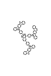 c1ccc2c(c1)sc1cc3c4ccccc4n(-c4ccc(-c5ccc6nc(-c7ccc(-n8c9ccccc9c9cc%10sc%11ccccc%11c%10cc98)cc7)nc(-c7ccc(-n8c9ccccc9c9cc%10sc%11ccccc%11c%10cc98)cc7)c6c5)cc4)c3cc12